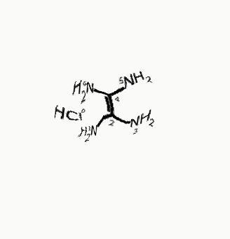 Cl.NC(N)=C(N)N